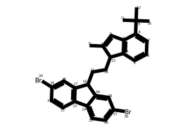 CC1=Cc2c(cccc2C(C)(C)C)C1CCC1c2cc(Br)ccc2-c2ccc(Br)cc21